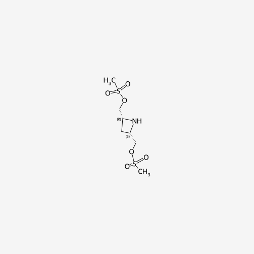 CS(=O)(=O)OC[C@@H]1C[C@H](COS(C)(=O)=O)N1